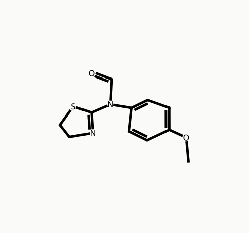 COc1ccc(N(C=O)C2=NCCS2)cc1